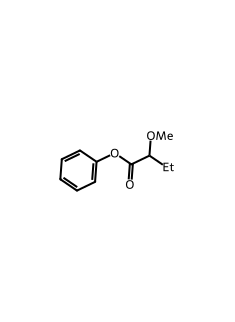 CCC(OC)C(=O)Oc1ccccc1